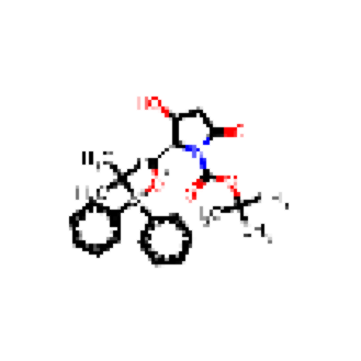 CC(C)(C)OC(=O)N1C(=O)CC(O)[C@H]1CO[Si](c1ccccc1)(c1ccccc1)C(C)(C)C